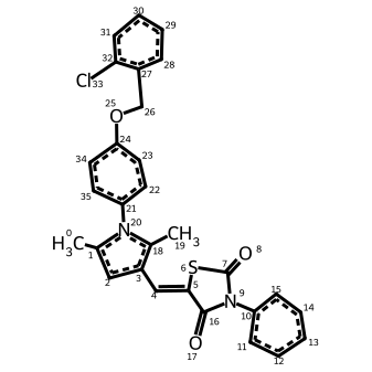 Cc1cc(C=C2SC(=O)N(c3ccccc3)C2=O)c(C)n1-c1ccc(OCc2ccccc2Cl)cc1